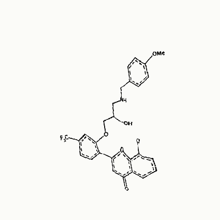 COc1ccc(CNCC(O)COc2cc(C(F)(F)F)ccc2-c2cc(=O)c3cccc(Cl)c3o2)cc1